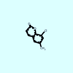 Cc1cc(Cl)c2oc(=O)ccc2c1